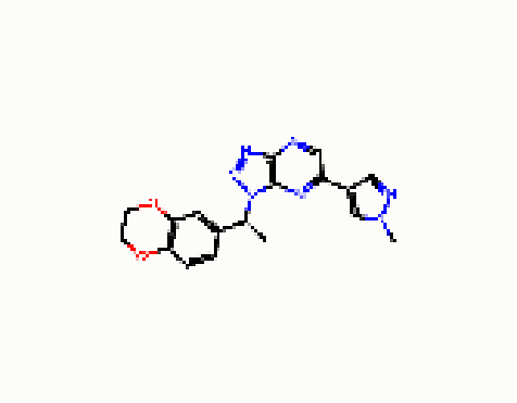 C[C@@H](c1ccc2c(c1)OCCO2)n1nnc2ncc(-c3cnn(C)c3)nc21